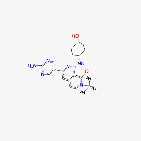 [2H]C([2H])([2H])n1ccc2cc(-c3cnc(N)nc3)nc(N[C@H]3CC[C@@H](O)CC3)c2c1=O